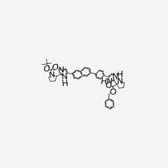 CC(C)(C)OC(=O)N1CCCC1c1ncc(-c2ccc3cc(-c4ccc(-c5cnc(C6(C(=O)OCc7ccccc7)CCCN6)[nH]5)cc4)ccc3c2)[nH]1